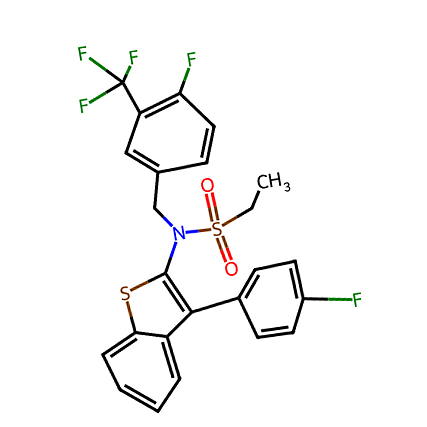 CCS(=O)(=O)N(Cc1ccc(F)c(C(F)(F)F)c1)c1sc2ccccc2c1-c1ccc(F)cc1